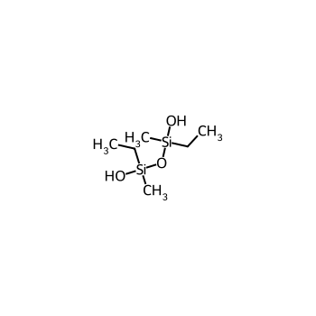 CC[Si](C)(O)O[Si](C)(O)CC